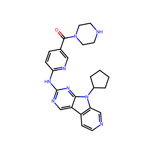 O=C(c1ccc(Nc2ncc3c4ccncc4n(C4CCCC4)c3n2)nc1)N1CCNCC1